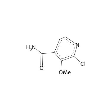 COc1c(C(N)=O)ccnc1Cl